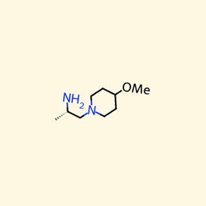 COC1CCN(C[C@H](C)N)CC1